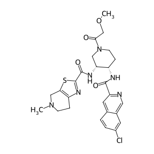 COCC(=O)N1CC[C@H](NC(=O)c2cc3ccc(Cl)cc3cn2)[C@H](NC(=O)c2nc3c(s2)CN(C)CC3)C1